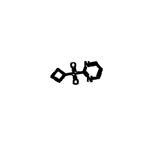 O=S(=O)(c1ncccn1)C1CCC1